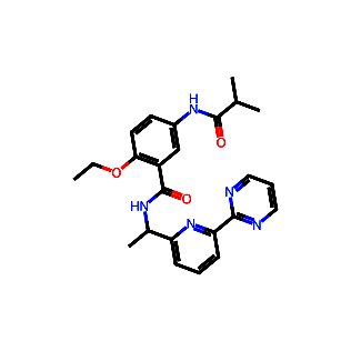 CCOc1ccc(NC(=O)C(C)C)cc1C(=O)NC(C)c1cccc(-c2ncccn2)n1